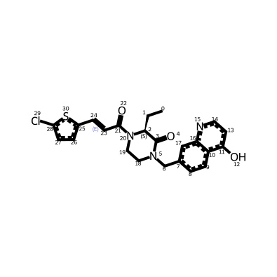 CC[C@H]1C(=O)N(Cc2ccc3c(O)ccnc3c2)CCN1C(=O)/C=C/c1ccc(Cl)s1